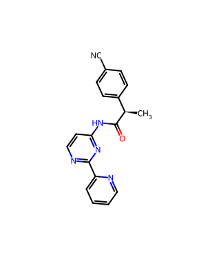 C[C@@H](C(=O)Nc1ccnc(-c2ccccn2)n1)c1ccc(C#N)cc1